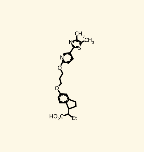 CCC(C(=O)O)[C@@H]1CCc2cc(OCCCOc3ccc(-c4nc(C)c(C)s4)cn3)ccc21